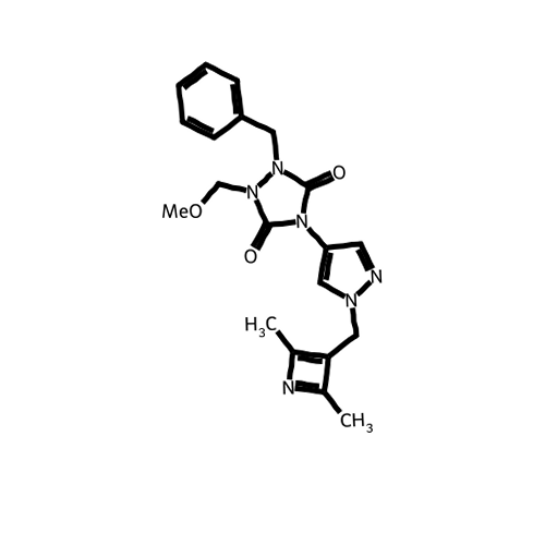 COCn1c(=O)n(-c2cnn(CC3=C(C)N=C3C)c2)c(=O)n1Cc1ccccc1